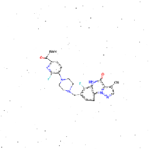 CNC(=O)c1ccc(N2CCN(Cc3ccc4c([nH]c(=O)c5c(C#N)cnn54)c3F)CC2)c(F)n1